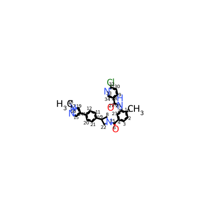 Cc1ccc(C(=O)N2CC(c3ccc(-c4cnn(C)c4)cc3)C2)cc1NC(=O)c1ccc(Cl)nc1